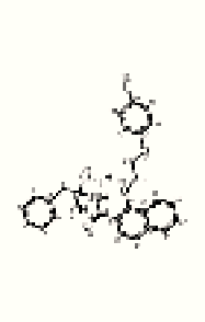 CC(Cc1ccccc1)(NC(=O)c1ccc2ccccc2c1OCCOc1ccc(F)cc1)C(=O)O